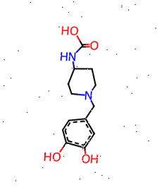 O=C(O)NC1CCN(Cc2ccc(O)c(O)c2)CC1